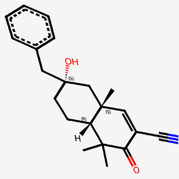 CC1(C)C(=O)C(C#N)=C[C@@]2(C)C[C@](O)(Cc3ccccc3)CC[C@@H]12